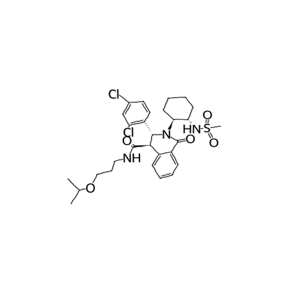 CC(C)OCCCNC(=O)[C@@H]1c2ccccc2C(=O)N([C@H]2CCCC[C@@H]2NS(C)(=O)=O)[C@H]1c1ccc(Cl)cc1Cl